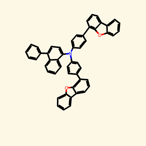 c1ccc(-c2ccc(N(c3ccc(-c4cccc5c4oc4ccccc45)cc3)c3ccc(-c4cccc5c4oc4ccccc45)cc3)c3ccccc23)cc1